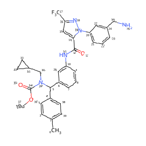 Cc1ccc(C(c2cccc(NC(=O)c3cc(C(F)(F)F)nn3-c3cccc(CN)c3)c2)N(CC2CC2)C(=O)OC(C)(C)C)cc1